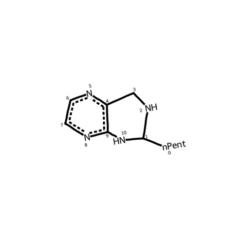 CCCCCC1NCc2nccnc2N1